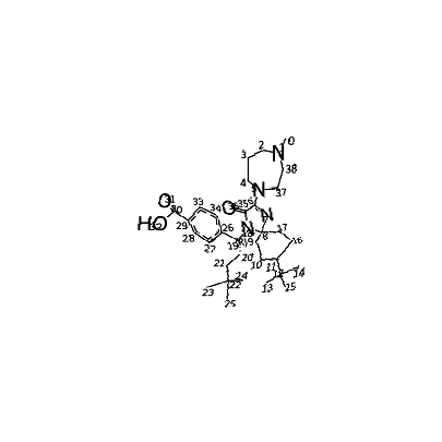 CN1CCCN(C2=NC3(CCC(C(C)(C)C)CC3)N([C@H](CCC(C)(C)C)c3ccc(C(=O)O)cc3)C2=O)CC1